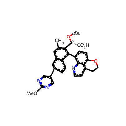 COc1ncc(-c2ccc3c(-c4ccc5c6c(ccnc46)CCO5)c([C@H](OC(C)(C)C)C(=O)O)c(C)cc3c2)cn1